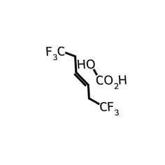 FC(F)(F)CC=CCC(F)(F)F.O=C(O)O